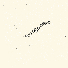 N#Cc1ccc(-c2ccc(OC(=O)c3ccc(C4CCC(OCOCC5CO5)CC4)cc3)cc2)cc1